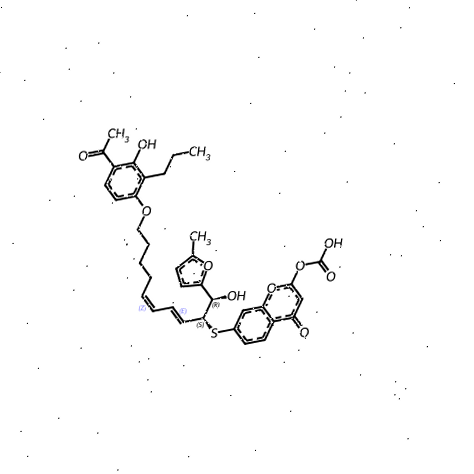 CCCc1c(OCCCC/C=C\C=C\[C@H](Sc2ccc3c(=O)cc(OC(=O)O)oc3c2)[C@H](O)c2ccc(C)o2)ccc(C(C)=O)c1O